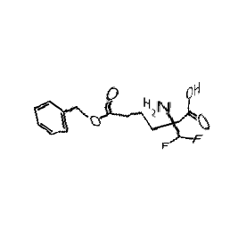 NC(CCCC(=O)OCc1ccccc1)(C(=O)O)C(F)F